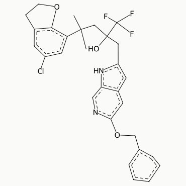 CC(C)(CC(O)(Cc1cc2cc(OCc3ccccc3)ncc2[nH]1)C(F)(F)F)c1cc(Cl)cc2c1OCC2